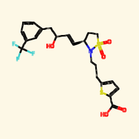 O=C(O)c1ccc(CCCN2[C@@H](/C=C/C(O)Cc3cccc(C(F)(F)F)c3)CCS2(=O)=O)s1